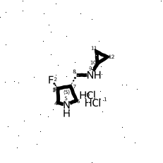 Cl.Cl.F[C@H]1CNC[C@H]1CNC1CC1